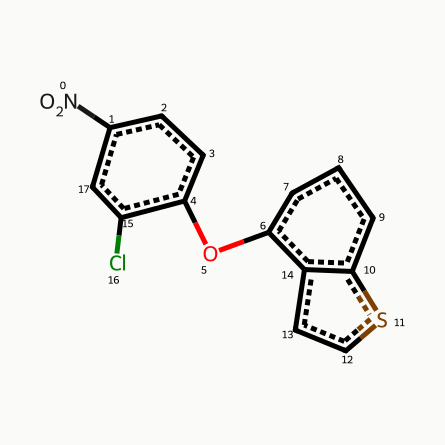 O=[N+]([O-])c1ccc(Oc2cccc3sccc23)c(Cl)c1